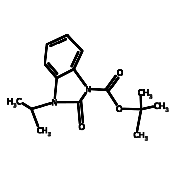 CC(C)n1c(=O)n(C(=O)OC(C)(C)C)c2ccccc21